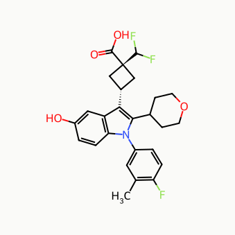 Cc1cc(-n2c(C3CCOCC3)c([C@H]3C[C@](C(=O)O)(C(F)F)C3)c3cc(O)ccc32)ccc1F